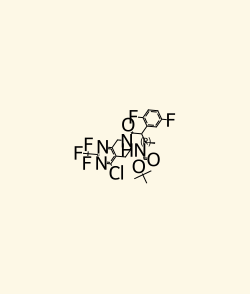 C[C@@H](NC(=O)OC(C)(C)C)C(C(=O)N1CCc2c(Cl)nc(C(F)(F)F)nc2C1)c1cc(F)ccc1F